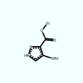 CCOC(=O)c1n[nH]cc1SC